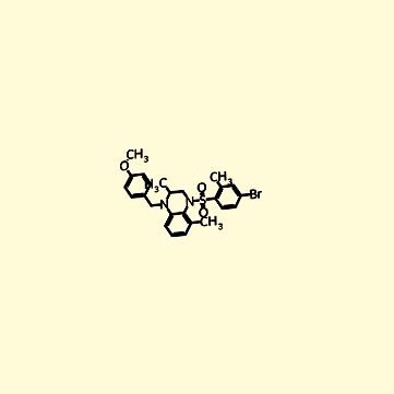 COc1ccc(CN2c3cccc(C)c3N(S(=O)(=O)c3ccc(Br)cc3C)CC2C)cc1